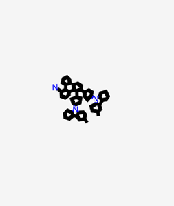 Cc1ccc2c(c1)c1ccccc1n2-c1ccc(-c2cccc(-c3cccc(C#N)c3-c3ccccc3)c2-c2ccc(-n3c4ccccc4c4cc(C)ccc43)cc2)cc1